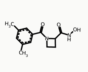 Cc1cc(C)cc(C(=O)N2CCC2C(=O)NO)c1